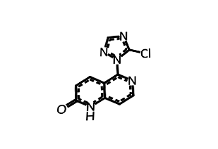 O=c1ccc2c(-n3ncnc3Cl)nccc2[nH]1